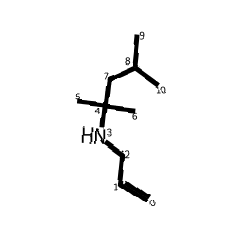 C=C[CH]NC(C)(C)CC(C)C